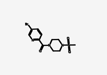 CS(=O)(=O)N1CCN(C(=O)c2ccc(Br)cn2)CC1